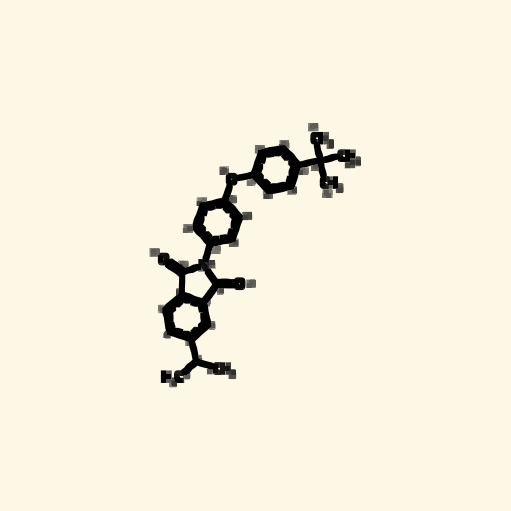 CC(C)c1ccc2c(c1)C(=O)N(c1ccc(Oc3ccc(C(C)(C)C)cc3)cc1)C2=O